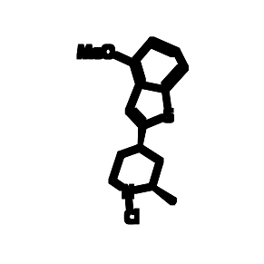 COc1cccc2sc([C@@H]3CCN(Cl)[C@H](C)C3)cc12